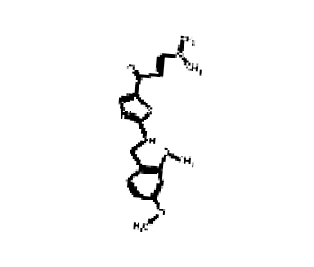 COc1ccc(CNc2ncc(C(=O)/C=C/N(C)C)s2)c(OC)c1